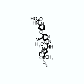 Cn1c(Nc2cc3n(n2)CCOC3(C)C)nc2ncc(Oc3ccnc(NC(=O)O)c3)c(C#N)c21